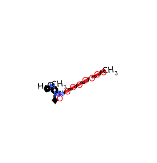 COCCOCCOCCOCCOCCOCCOCCN1C[C@]2(CC[C@@](c3ccccc3)(N(C)C)CC2)N(CC2CCC2)C1=O